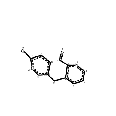 O=Cc1ncccc1Cc1ccc(Cl)nc1